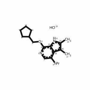 CCCc1cnc(OCC2CCCC2)c2[nH]c(C)c(C)c12.Cl